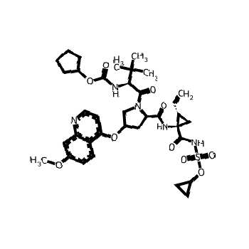 C=C[C@@H]1C[C@]1(NC(=O)C1CC(Oc2ccnc3cc(OC)ccc23)CN1C(=O)[C@@H](NC(=O)OC1CCCC1)C(C)(C)C)C(=O)NS(=O)(=O)OC1CC1